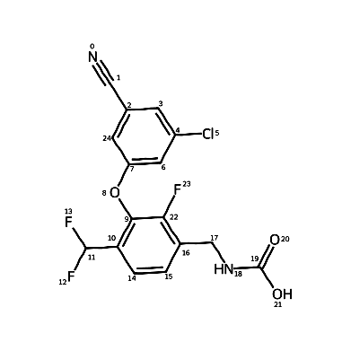 N#Cc1cc(Cl)cc(Oc2c(C(F)F)ccc(CNC(=O)O)c2F)c1